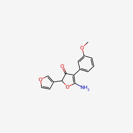 COc1cccc(C2=C(N)OC(c3ccoc3)C2=O)c1